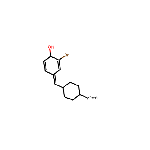 CCCCCC1CCC(/C=C2/C=CC(O)C(Br)=C2)CC1